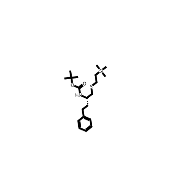 CC(C)(C)OC(=O)N[C@@H](CCc1ccccc1)CSCC[Si](C)(C)C